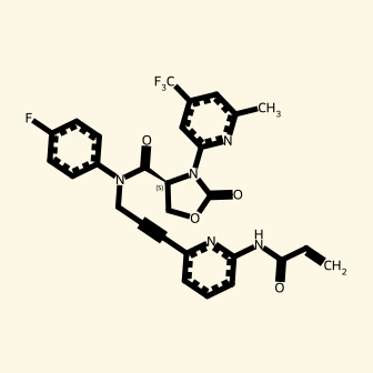 C=CC(=O)Nc1cccc(C#CCN(C(=O)[C@@H]2COC(=O)N2c2cc(C(F)(F)F)cc(C)n2)c2ccc(F)cc2)n1